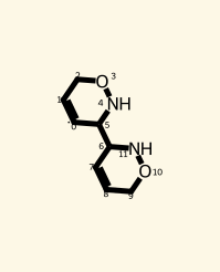 [C]1=CCONC1C1C=CCON1